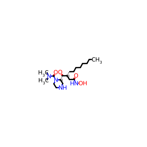 CCCCCCCC[C@H](CC(=O)NO)C(=O)[C@@H]1CNCCN1C(=O)N(C)C